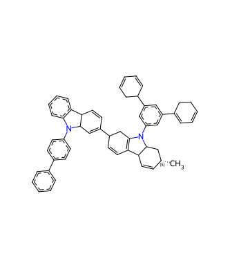 C[C@@H]1C=CC2C3=C(CC(C4=CC5C(C=C4)c4ccccc4N5c4ccc(-c5ccccc5)cc4)C=C3)N(c3cc(C4=CC=CCC4)cc(C4C=CC=CC4)c3)C2C1